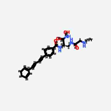 CCCNCC(=O)NC[C@H](NC(=O)c1ccc(C#CC#CC2=CCCC=C2)cc1)C(=O)NO